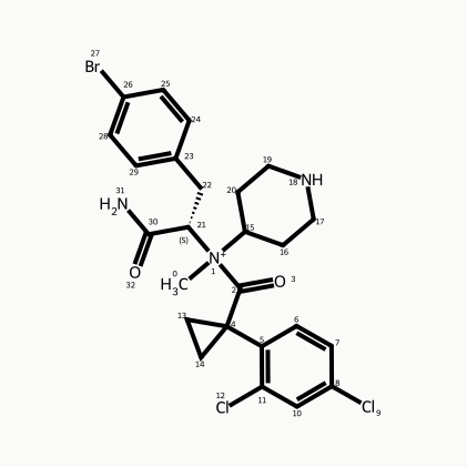 C[N+](C(=O)C1(c2ccc(Cl)cc2Cl)CC1)(C1CCNCC1)[C@@H](Cc1ccc(Br)cc1)C(N)=O